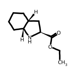 CCOC(=O)[C@@H]1C[C@H]2CCCC[C@H]2N1